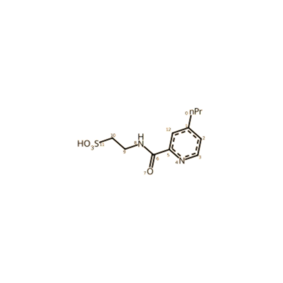 CCCc1ccnc(C(=O)NCCS(=O)(=O)O)c1